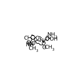 COCCCCC(O)(c1cccc(Cl)c1-c1nc(C)no1)C1CN(C(=O)[C@H]2C[C@@H](N)[C@@H](O)C2)CCO1